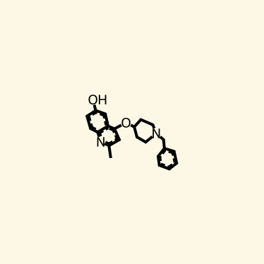 Cc1cc(OC2CCN(Cc3ccccc3)CC2)c2cc(O)ccc2n1